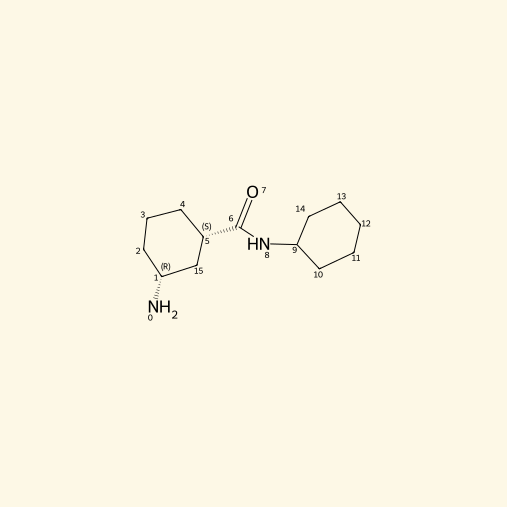 N[C@@H]1CCC[C@H](C(=O)NC2CCCCC2)C1